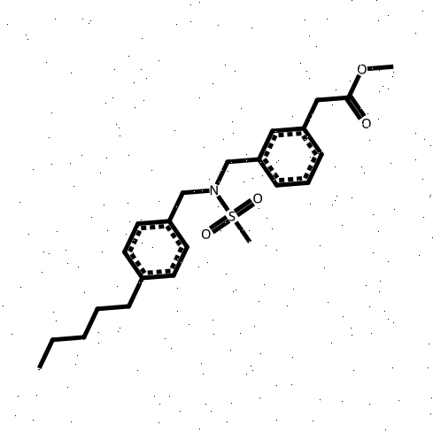 CCCCCc1ccc(CN(Cc2cccc(CC(=O)OC)c2)S(C)(=O)=O)cc1